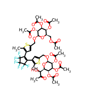 CC(=O)OC[C@H]1O[C@@H](OCc2cc(C3=C(c4cc(CO[C@@H]5O[C@H](C(O)C(C)=O)[C@@H](OC(C)=O)[C@H](OC(C)=O)[C@H]5OC(C)=O)sc4C)C(F)(F)C(F)(F)C3(F)F)c(C)s2)[C@H](OC(C)=O)[C@@H](OC(C)=O)[C@@H]1OC(C)=O